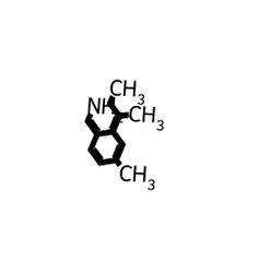 CC/C(C)=c1/cc(C)cc/c1=C/N